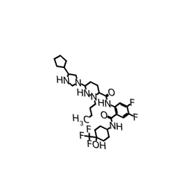 CCCCN1NC(N2CNC(C3CCCC3)C2)CCC1C(=O)Nc1cc(F)c(F)cc1C(=O)NC1CCC(O)(C(F)(F)F)CC1